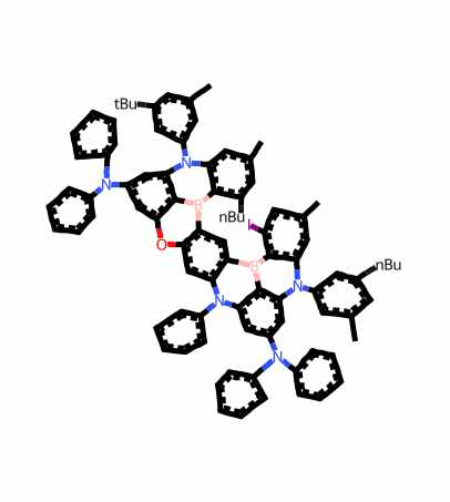 CCCCc1cc(C)cc(N2c3cc(C)cc(I)c3B3c4cc5c(cc4N(c4ccccc4)c4cc(N(c6ccccc6)c6ccccc6)cc2c43)Oc2cc(N(c3ccccc3)c3ccccc3)cc3c2B5c2c(CCCC)cc(C)cc2N3c2cc(C)cc(C(C)(C)C)c2)c1